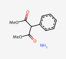 COC(=O)C(C(=O)OC)c1ccccc1.N